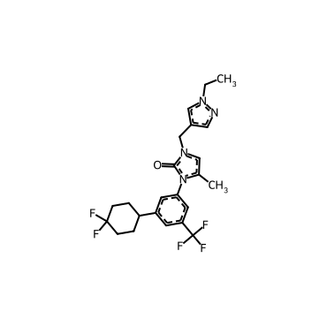 CCn1cc(Cn2cc(C)n(-c3cc(C4CCC(F)(F)CC4)cc(C(F)(F)F)c3)c2=O)cn1